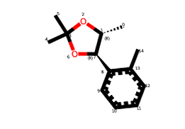 [CH2][C@H]1OC(C)(C)O[C@@H]1c1ccccc1C